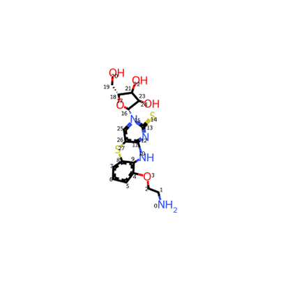 NCCOc1cccc2c1Nc1nc(=S)n([C@@H]3O[C@H](CO)C(O)C3O)cc1S2